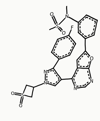 CN(c1cccc(-c2cc3c(-c4cn(C5CS(=O)(=O)C5)nc4-c4ccc(F)cc4)ncnc3o2)c1)S(C)(=O)=O